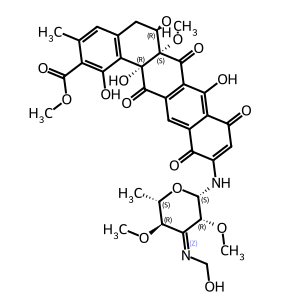 COC(=O)c1c(C)cc2c(c1O)[C@]1(O)C(=O)c3cc4c(c(O)c3C(=O)[C@]1(OC)[C@H](O)C2)C(=O)C=C(N[C@H]1O[C@@H](C)[C@H](OC)/C(=N/CO)[C@H]1OC)C4=O